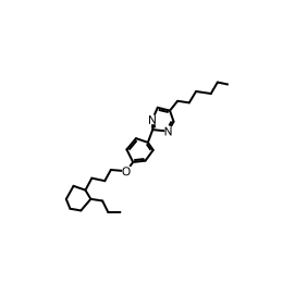 CCCCCCc1cnc(-c2ccc(OCCCC3CCCCC3CCC)cc2)nc1